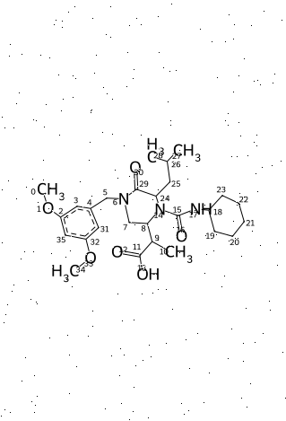 COc1cc(CN2CC(C(C)C(=O)O)N(C(=O)NC3CCCCC3)C(CC(C)C)C2=O)cc(OC)c1